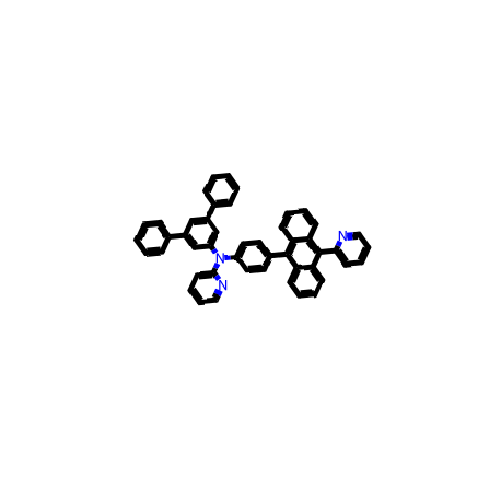 c1ccc(-c2cc(-c3ccccc3)cc(N(c3ccc(-c4c5ccccc5c(-c5ccccn5)c5ccccc45)cc3)c3ccccn3)c2)cc1